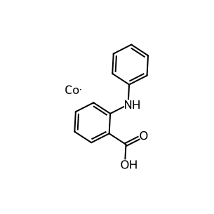 O=C(O)c1ccccc1Nc1ccccc1.[Co]